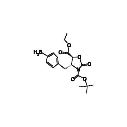 Bc1ccc(C[C@@H]2[C@@H](C(=O)OCC)OC(=O)N2C(=O)OC(C)(C)C)cc1